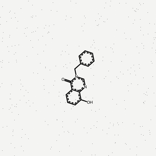 O=c1c2cccc(O)c2ncn1Cc1ccccc1